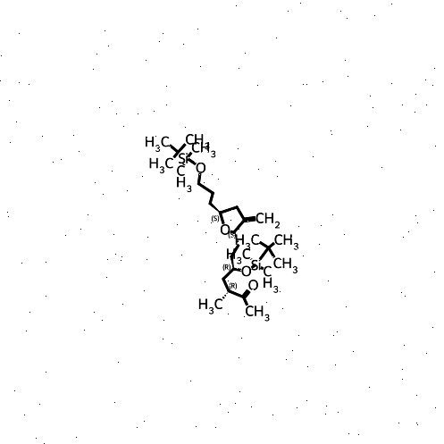 C=C1C[C@H](CCCO[Si](C)(C)C(C)(C)C)O[C@H]1CC[C@H](C[C@@H](C)C(C)=O)O[Si](C)(C)C(C)(C)C